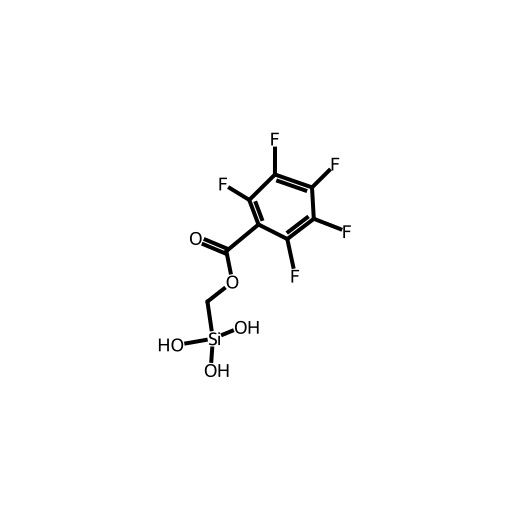 O=C(OC[Si](O)(O)O)c1c(F)c(F)c(F)c(F)c1F